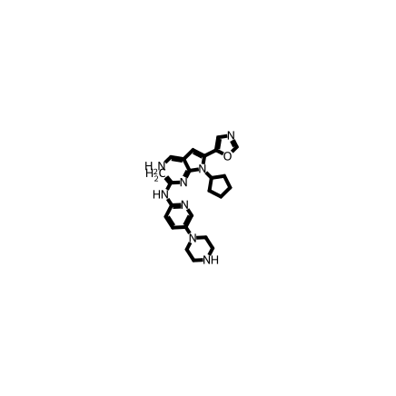 C=C(/N=C1\C(=C/N)C=C(c2cnco2)N1C1CCCC1)Nc1ccc(N2CCNCC2)cn1